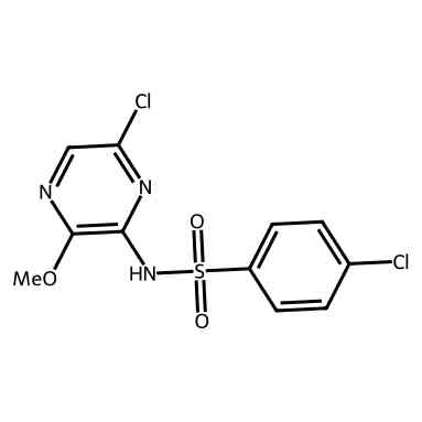 COc1ncc(Cl)nc1NS(=O)(=O)c1ccc(Cl)cc1